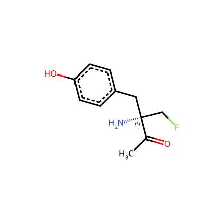 CC(=O)[C@](N)(CF)Cc1ccc(O)cc1